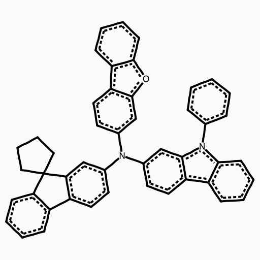 c1ccc(-n2c3ccccc3c3ccc(N(c4ccc5c(c4)C4(CCCC4)c4ccccc4-5)c4ccc5c(c4)oc4ccccc45)cc32)cc1